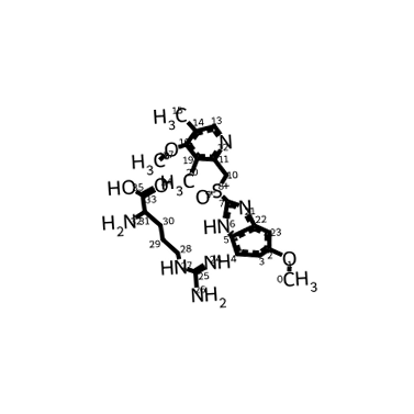 COc1ccc2[nH]c([S+]([O-])Cc3ncc(C)c(OC)c3C)nc2c1.N=C(N)NCCCC(N)C(=O)O